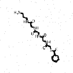 NCCCNC(=O)CNC(=O)CNC(=O)CNC(=O)CSC(=O)c1ccccc1